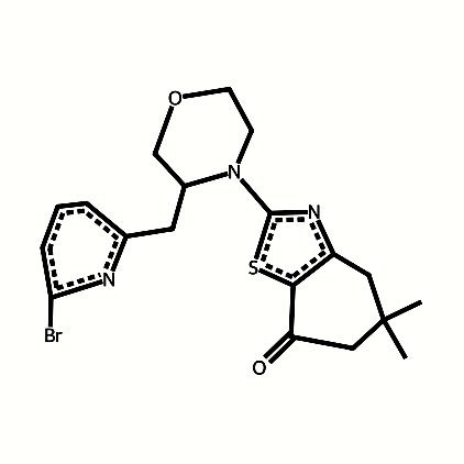 CC1(C)CC(=O)c2sc(N3CCOCC3Cc3cccc(Br)n3)nc2C1